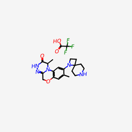 Cc1cc2c(cc1N1CCC13CCNCC3)N1C(=NNC(=O)C1C)CO2.O=C(O)C(F)(F)F